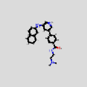 CN(C)CCNC(=O)c1ccc(-c2cncc(Nc3ccc4ccccc4c3)c2)cc1